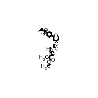 CCOC(=O)C(C)c1csc(NC(=O)COC2CCOC(c3ccc(S(=O)(=O)C4CC4)cc3)C2)n1